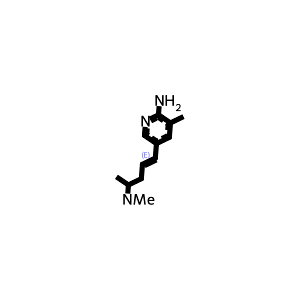 CNC(C)C/C=C/c1cnc(N)c(C)c1